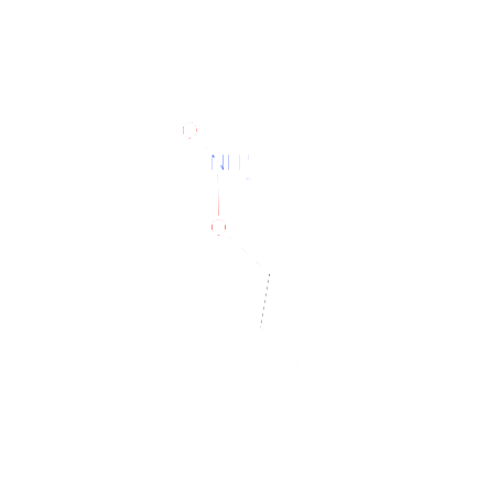 C=CCO[NH2+][O-]